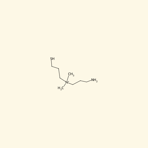 C[N+](C)(CCCN)CCCS